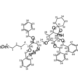 CCCCCCCCCCCCCC[C@@H](OCc1ccccc1)[C@@H](OCc1ccccc1)[C@H](CO[C@H]1C(C)C2OC3(CCCCC3)O[C@@H]2[C@@H](OCc2ccccc2)C1OCc1ccccc1)N=[N+]=[N-]